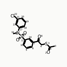 CC(=O)SCC(=O)c1cccc(S(=O)(=O)N(C)c2cccc(Cl)c2)c1